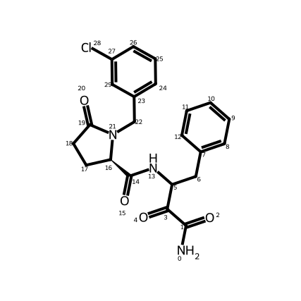 NC(=O)C(=O)C(Cc1ccccc1)NC(=O)[C@H]1CCC(=O)N1Cc1cccc(Cl)c1